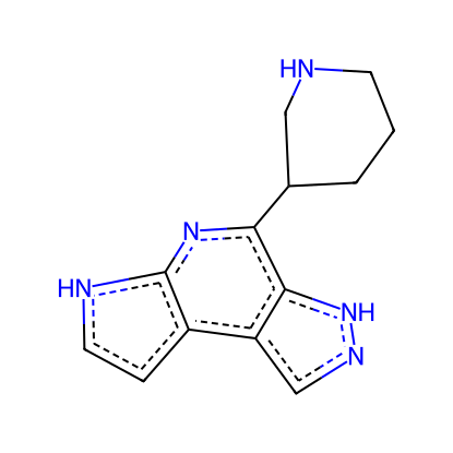 c1cc2c(nc(C3CCCNC3)c3[nH]ncc32)[nH]1